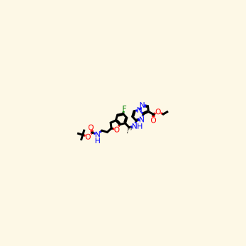 CCOC(=O)c1cnn2ccc(N[C@H](C)c3cc(F)cc4c3OC(CCNC(=O)OC(C)(C)C)C4)nc12